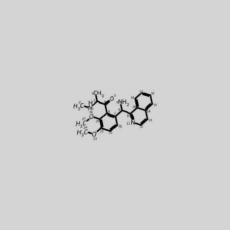 CNC(C)C(=O)c1c(C(N)c2nccc3ccccc23)ccc(OC)c1OC